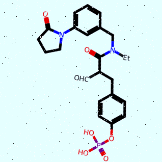 CCN(Cc1cccc(N2CCCC2=O)c1)C(=O)C(C=O)Cc1ccc(OP(=O)(O)O)cc1